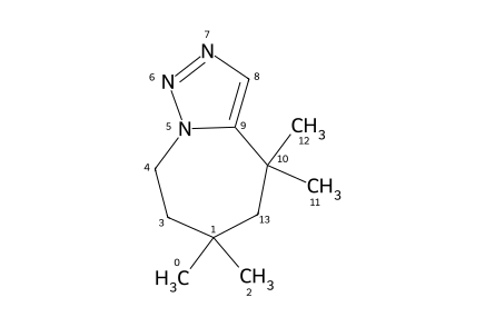 CC1(C)CCn2nncc2C(C)(C)C1